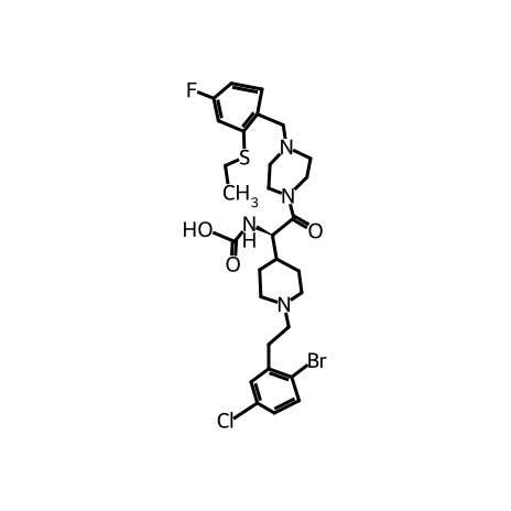 CCSc1cc(F)ccc1CN1CCN(C(=O)[C@H](NC(=O)O)C2CCN(CCc3cc(Cl)ccc3Br)CC2)CC1